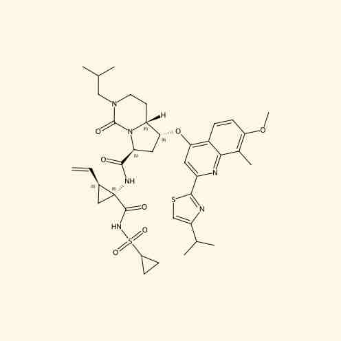 C=C[C@@H]1C[C@]1(NC(=O)[C@@H]1C[C@@H](Oc2cc(-c3nc(C(C)C)cs3)nc3c(C)c(OC)ccc23)[C@H]2CCN(CC(C)C)C(=O)N21)C(=O)NS(=O)(=O)C1CC1